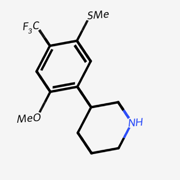 COc1cc(C(F)(F)F)c(SC)cc1C1CCCNC1